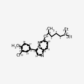 CCN(CC)CCCC(C)Oc1ccc2ncc(-c3ccc(C)c(Cl)c3)n2n1